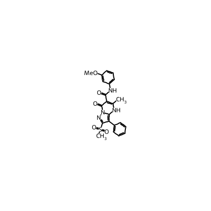 COc1cccc(NC(=O)c2c(C)[nH]c3c(-c4ccccc4)c(S(C)(=O)=O)nn3c2=O)c1